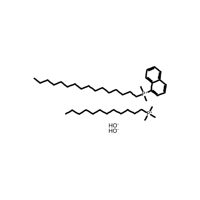 CCCCCCCCCCCCCCCC[P+](C)(C)c1cccc2ccccc12.CCCCCCCCCCCC[P+](C)(C)C.[OH-].[OH-]